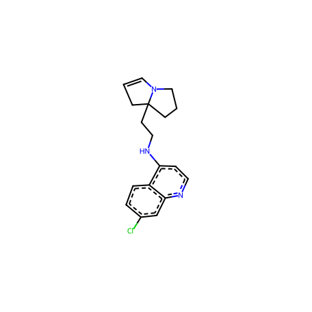 Clc1ccc2c(NCCC34CC=CN3CCC4)ccnc2c1